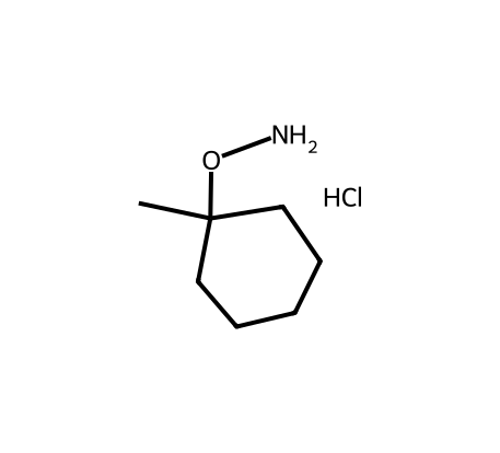 CC1(ON)CCCCC1.Cl